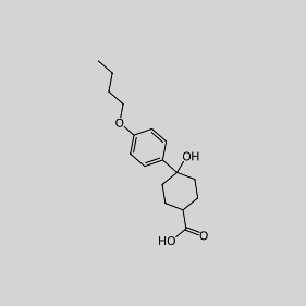 CCCCOc1ccc(C2(O)CCC(C(=O)O)CC2)cc1